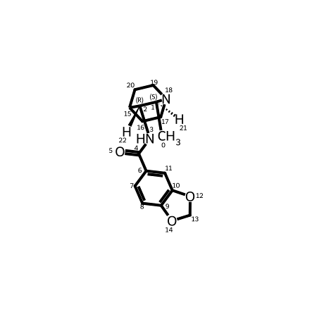 C[C@H]1[C@H](NC(=O)c2ccc3c(c2)OCO3)C2CCN1CC2